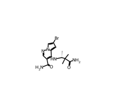 C[C@@H](Nc1c(C(N)=O)cnn2cc(Br)cc12)C(C)(C)C(N)=O